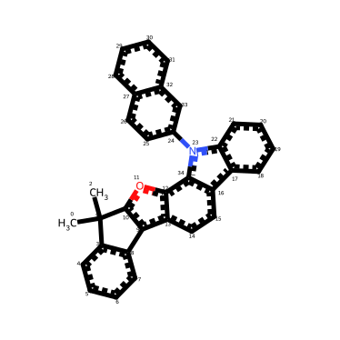 CC1(C)c2ccccc2-c2c1oc1c2ccc2c3ccccc3n(-c3ccc4ccccc4c3)c21